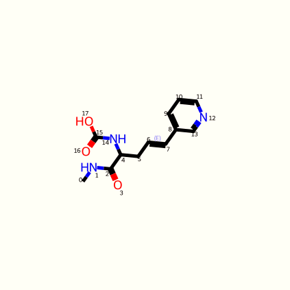 CNC(=O)C(C/C=C/c1cccnc1)NC(=O)O